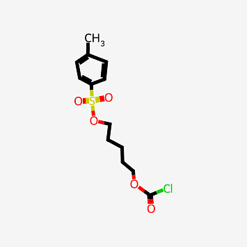 Cc1ccc(S(=O)(=O)OCCCCCOC(=O)Cl)cc1